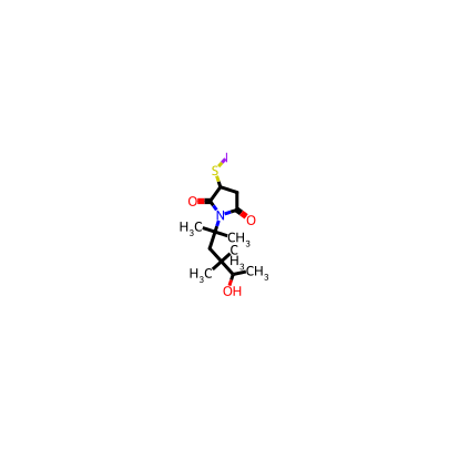 CC(O)C(C)(C)CC(C)(C)N1C(=O)CC(SI)C1=O